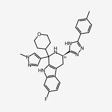 Cc1ccc(-c2nnc([C@H]3Cc4c([nH]c5cc(F)ccc45)C(c4cnn(C)c4)(C4CCOCC4)N3)[nH]2)cc1